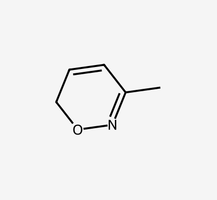 CC1=NOCC=C1